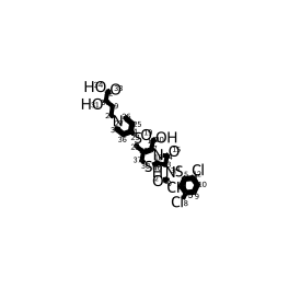 CC(=O)N(Sc1cc(Cl)ccc1Cl)[C@H]1C(=O)N2C(C(=O)O)=C(CSc3cc[n+](CC[C@H](O)C(=O)O)cc3)CS[C@H]12